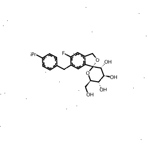 CC(C)c1ccc(Cc2cc3c(cc2F)CO[C@]32O[C@H](CO)[C@@H](O)[C@H](O)[C@H]2O)cc1